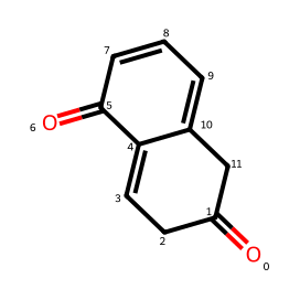 O=C1CC=C2C(=O)C=CC=C2C1